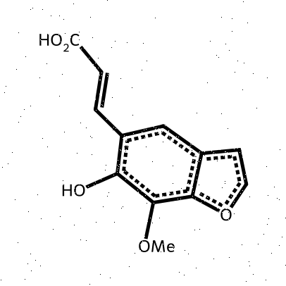 COc1c(O)c(/C=C/C(=O)O)cc2ccoc12